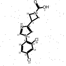 O=C(O)N1CC(c2cn(-c3ccc(Cl)cc3Cl)cn2)C1